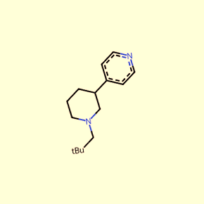 CC(C)(C)CN1CCCC(c2ccncc2)C1